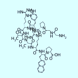 CC(C)[C@@H](NC(=O)[C@H](CCCNC(=N)N)NC(=O)[C@@H](Cc1ccc(O)cc1)NC(=O)[C@@H]1CCCN1C(=O)CNC(=O)CN)C(=O)N[C@@H](C)C(=O)N[C@@H](CCCNC(=N)N)C(=O)N[C@H](Cc1ccc2ccccc2c1)C(=O)N1CCC[C@H]1C(=O)O